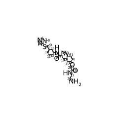 C[C@H](Sc1nncn1C)c1cccc(NC(=O)c2cc3cc(OCC(=O)NCCN)ccc3cn2)c1